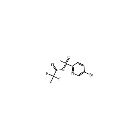 CS(=O)(=NC(=O)C(F)(F)F)c1ccc(Br)cn1